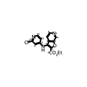 CCOC(=O)c1oc2cnccc2c1Nc1ccnc(Cl)c1